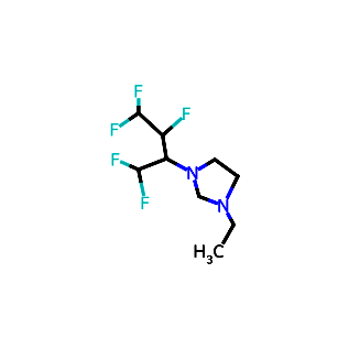 CCN1CCN(C(C(F)F)C(F)C(F)F)C1